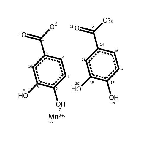 O=C([O-])c1ccc(O)c(O)c1.O=C([O-])c1ccc(O)c(O)c1.[Mn+2]